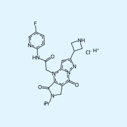 CC(C)N1Cc2c(n(CC(=O)Nc3ccc(F)cn3)c3cc(C4CNC4)nn3c2=O)C1=O.[Cl-].[H+]